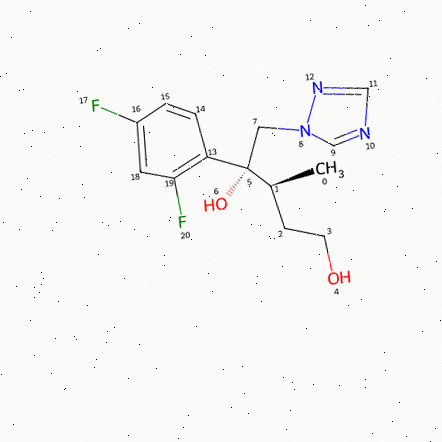 C[C@@H](CCO)[C@](O)(Cn1cncn1)c1ccc(F)cc1F